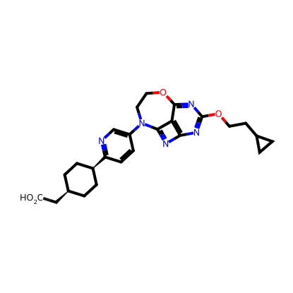 O=C(O)C[C@H]1CC[C@@H](c2ccc(N3CCOc4nc(OCCC5CC5)nc5c4C3=N5)cn2)CC1